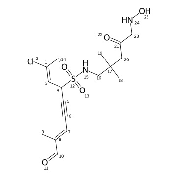 C/C(Cl)=C\C(C#C/C=C(\C)C=O)S(=O)(=O)NCC(C)(C)CC(=O)CNO